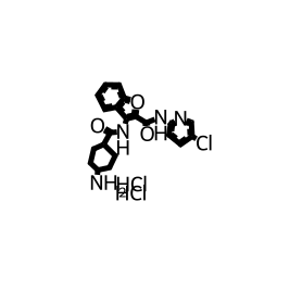 Cl.Cl.NC1CCC(C(=O)Nc2c(C(=O)Nc3ccc(Cl)cn3)oc3ccccc23)CC1